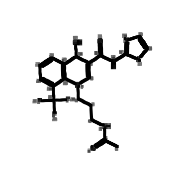 CC(=O)NCCCN1C=C(C(=O)Nc2nccs2)C(O)c2cccc(C(F)(F)F)c21